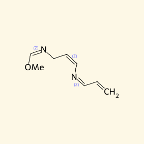 C=C/C=N\C=C/C/N=C\OC